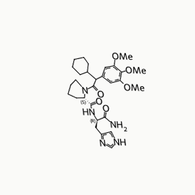 COc1cc(C(C(=O)N2CCCC[C@H]2C(=O)N[C@H](Cc2c[nH]cn2)C(N)=O)C2CCCCC2)cc(OC)c1OC